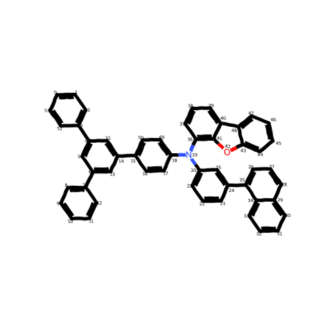 c1ccc(-c2cc(-c3ccccc3)cc(-c3ccc(N(c4cccc(-c5cccc6ccccc56)c4)c4cccc5c4oc4ccccc45)cc3)c2)cc1